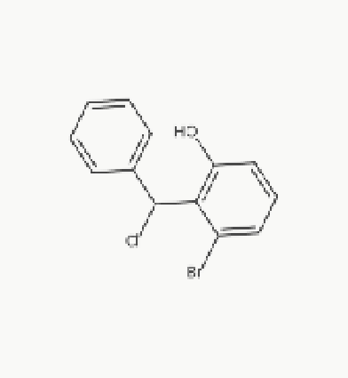 Oc1cccc(Br)c1C(Cl)c1ccccc1